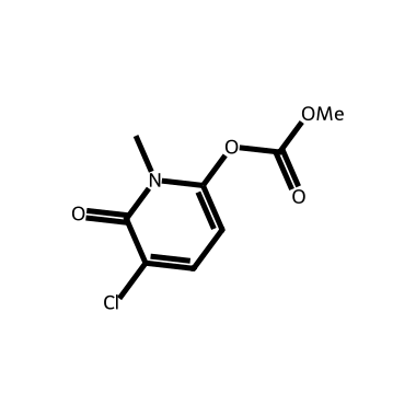 COC(=O)Oc1ccc(Cl)c(=O)n1C